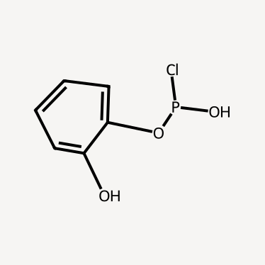 Oc1ccccc1OP(O)Cl